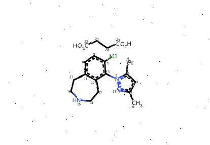 Cc1cc(C(C)C)n(-c2c(Cl)ccc3c2CCNCC3)n1.O=C(O)CCC(=O)O